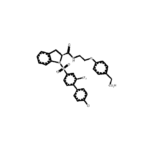 O=C(O)Cc1ccc(OCCNC(=O)[C@@H]2Cc3ccccc3N2S(=O)(=O)c2ccc(-c3ccc(Cl)cc3)c(C(F)(F)F)c2)cc1